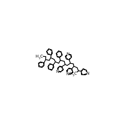 CCC(CC(CC(CC(CC(CC(CC(CC(C)c1ccncc1)c1ccncc1)c1ccncc1)c1ccncc1)c1ccccc1)c1ccccc1)c1ccccc1)c1ccccc1